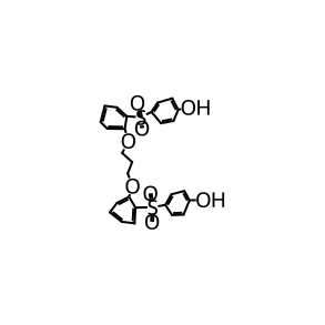 O=S(=O)(c1ccc(O)cc1)c1ccccc1OCCCOc1ccccc1S(=O)(=O)c1ccc(O)cc1